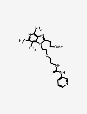 COCCc1nc2c(N)nc(C)c(C)c2n1CCOCCNC(=O)Nc1cccnc1